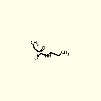 [CH2]CCNS(=O)(=O)CC